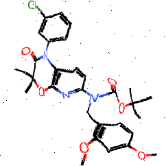 COc1ccc(CN(C(=O)OC(C)(C)C)c2ccc3c(n2)OC(C)(C)C(=O)N3c2cccc(Cl)c2)c(OC)c1